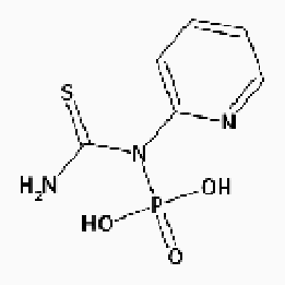 NC(=S)N(c1ccccn1)P(=O)(O)O